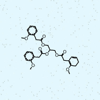 COC1=C(CC(=O)OCC(COC(=O)Cc2ccccc2OC)OC(=O)Cc2ccccc2OC)C=CCC1